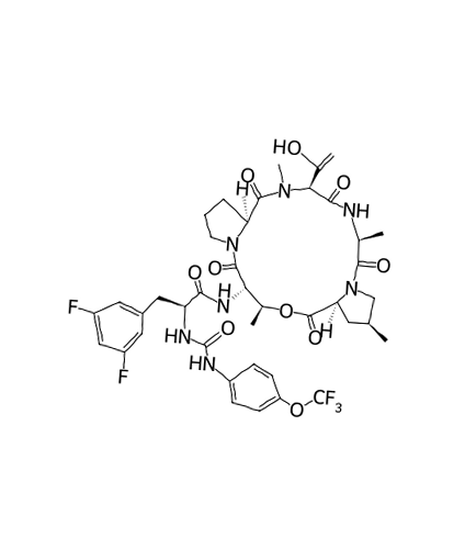 C=C(O)[C@H]1C(=O)N[C@@H](C)C(=O)N2C[C@@H](C)C[C@H]2C(=O)O[C@@H](C)[C@H](NC(=O)[C@H](Cc2cc(F)cc(F)c2)NC(=O)Nc2ccc(OC(F)(F)F)cc2)C(=O)N2CCC[C@H]2C(=O)N1C